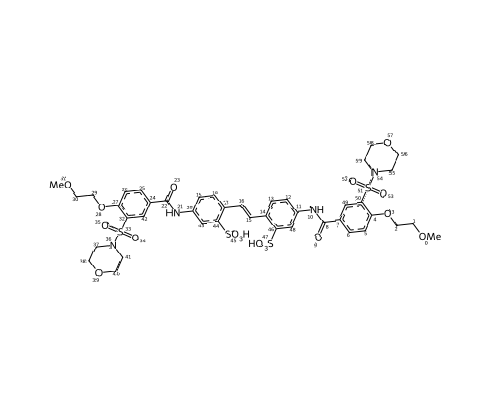 COCCOc1ccc(C(=O)Nc2ccc(C=Cc3ccc(NC(=O)c4ccc(OCCOC)c(S(=O)(=O)N5CCOCC5)c4)cc3S(=O)(=O)O)c(S(=O)(=O)O)c2)cc1S(=O)(=O)N1CCOCC1